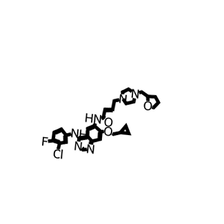 O=C(C=CCN1CCN(CC2CCCO2)CC1)Nc1cc2c(Nc3ccc(F)c(Cl)c3)ncnc2cc1OCC1CC1